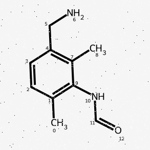 Cc1ccc(CN)c(C)c1NC=O